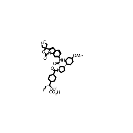 COC1CCC([C@@H]2CCN(C(=O)C3CCC([C@@H](CF)NC(=O)O)CC3)[C@@H]2C(=O)Nc2ccc3cc4n(c3c2)C(=O)OC4(CF)CF)CC1